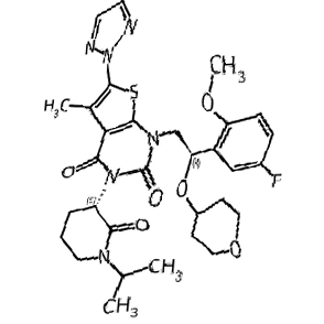 COc1ccc(F)cc1[C@H](Cn1c(=O)n([C@H]2CCCN(C(C)C)C2=O)c(=O)c2c(C)c(-n3nccn3)sc21)OC1CCOCC1